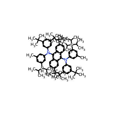 Cc1cc(N(c2cc(C(C)(C)C)cc(C(C)(C)C)c2)c2c3ccc(C(C)(C)C)cc3c(N(c3cc(C(C)(C)C)cc(C(C)(C)C)c3)c3cc(C)cc([Si](C(C)C)(C(C)C)C(C)C)c3)c3ccc(C(C)(C)C)cc23)cc([SiH](C(C)C)C(C)C)c1